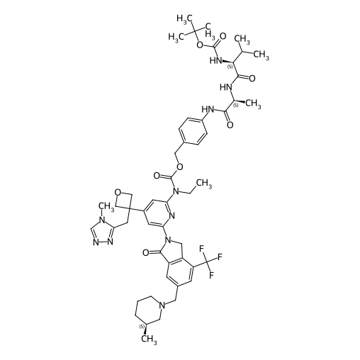 CCN(C(=O)OCc1ccc(NC(=O)[C@H](C)NC(=O)[C@@H](NC(=O)OC(C)(C)C)C(C)C)cc1)c1cc(C2(Cc3nncn3C)COC2)cc(N2Cc3c(cc(CN4CCC[C@H](C)C4)cc3C(F)(F)F)C2=O)n1